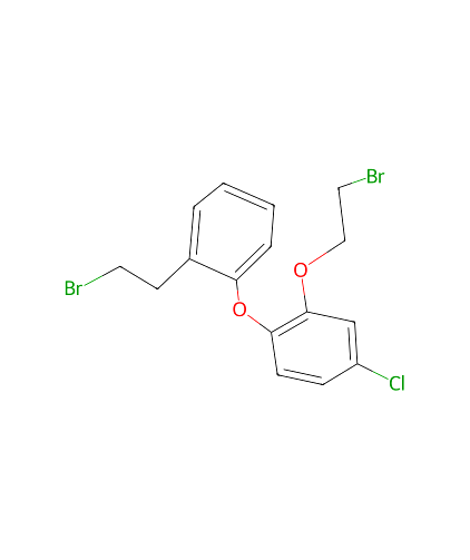 Clc1ccc(Oc2ccccc2CCBr)c(OCCBr)c1